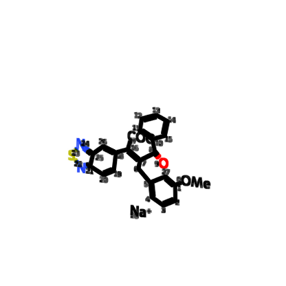 COc1cccc(CC(C(=O)c2ccccc2)=C(C(=O)[O-])c2ccc3nsnc3c2)c1.[Na+]